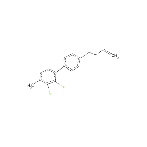 C=CCCc1ccc(-c2ccc(C)c(F)c2F)cc1